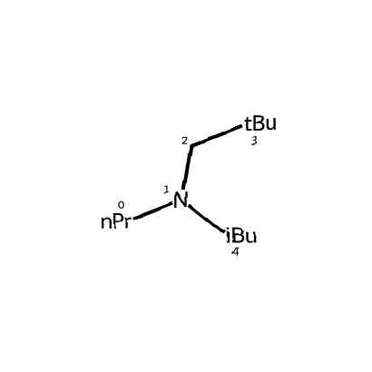 CCCN(CC(C)(C)C)C(C)CC